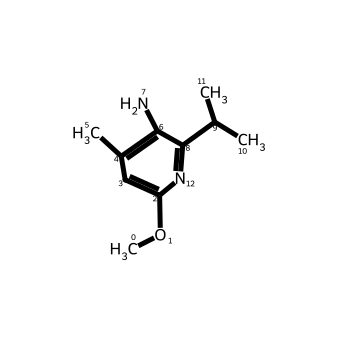 COc1cc(C)c(N)c(C(C)C)n1